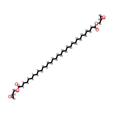 O=C(CCCCCCCCCCCCCCCCCCCCCCCCCCCCCCC(=O)OCC1CO1)OCC1CO1